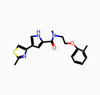 Cc1nc(-c2c[nH]c(C(=O)N(C)CCOc3ccccc3C)c2)cs1